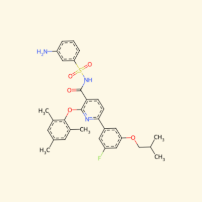 Cc1cc(C)c(Oc2nc(-c3cc(F)cc(OCC(C)C)c3)ccc2C(=O)NS(=O)(=O)c2cccc(N)c2)c(C)c1